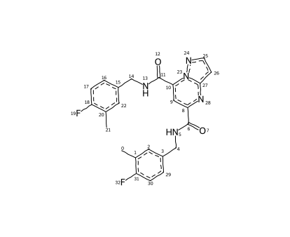 Cc1cc(CNC(=O)c2cc(C(=O)NCc3ccc(F)c(C)c3)n3nccc3n2)ccc1F